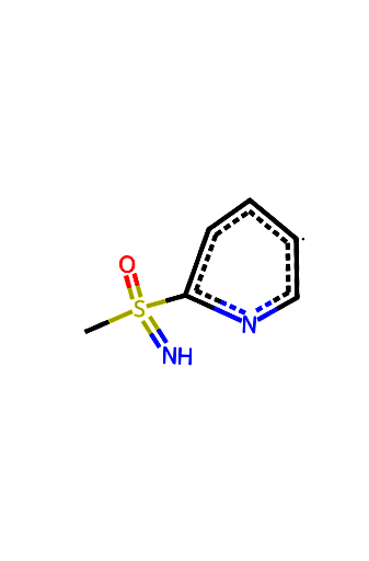 CS(=N)(=O)c1cc[c]cn1